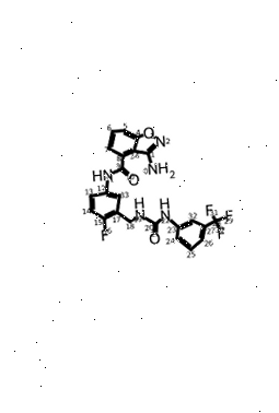 Nc1noc2cccc(C(=O)Nc3ccc(F)c(CNC(=O)Nc4cccc(C(F)(F)F)c4)c3)c12